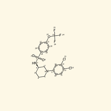 O=S(=O)(N[C@@H]1CCCN(c2ccc(Cl)c(Cl)c2)C1)c1ccc(OC(F)(F)F)cc1